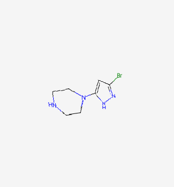 Brc1cc(N2CCNCC2)[nH]n1